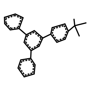 CC(C)(C)c1ccc(-c2cc(-c3ccccc3)cc(-c3ccccc3)c2)cc1